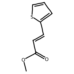 COC(=O)C=Cc1cccs1